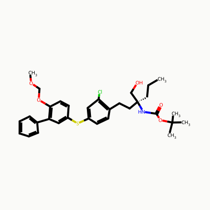 CCC[C@@](CO)(CCc1ccc(Sc2ccc(OCOC)c(-c3ccccc3)c2)cc1Cl)NC(=O)OC(C)(C)C